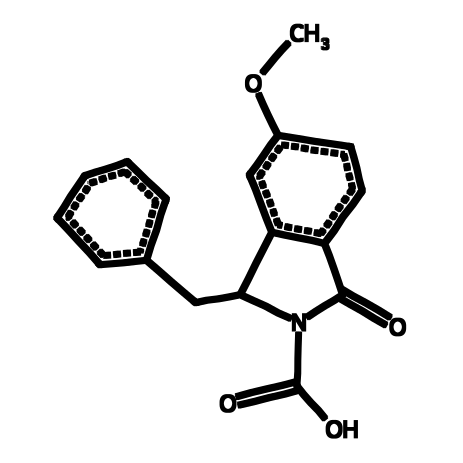 COc1ccc2c(c1)C(Cc1ccccc1)N(C(=O)O)C2=O